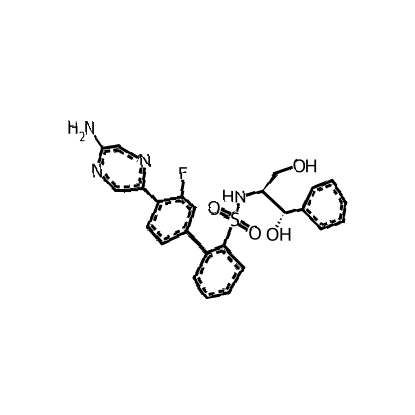 Nc1cnc(-c2ccc(-c3ccccc3S(=O)(=O)N[C@@H](CO)[C@@H](O)c3ccccc3)cc2F)cn1